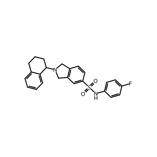 O=S(=O)(Nc1ccc(F)cc1)c1ccc2c(c1)CN(C1CCCc3ccccc31)C2